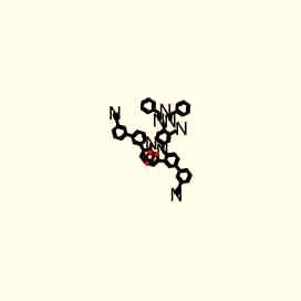 N#Cc1cccc(-c2ccc3c(c2)c2ccccc2n3-c2cc(C#N)c(-c3nc(-c4ccccc4)nc(-c4ccccc4)n3)cc2-n2c3ccccc3c3cc(-c4cccc(C#N)c4)ccc32)c1